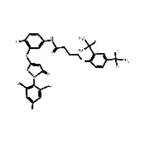 CCC(C)(C)c1ccc(OCCCC(=O)Nc2ccc(Cl)c(Nc3cc(=O)n(-c4c(Cl)cc(Cl)cc4Cl)[nH]3)c2)c(C(C)(C)CC)c1